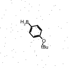 Bc1ccc(OC(C)(C)C)cc1